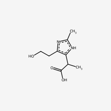 Cc1nc(CCO)c(C(C)C(=O)O)[nH]1